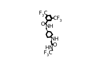 O=C(CN[C@H]1CC[C@@H](CNC(=O)c2cc(C(F)(F)F)cc(C(F)(F)F)c2)CC1)NCC(F)(F)F